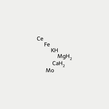 [CaH2].[Ce].[Fe].[KH].[MgH2].[Mo]